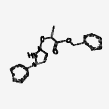 CC(ON1C=CN(c2ccccc2)N1)C(=O)OCc1ccccc1